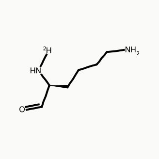 [2H]N[C@H](C=O)CCCCN